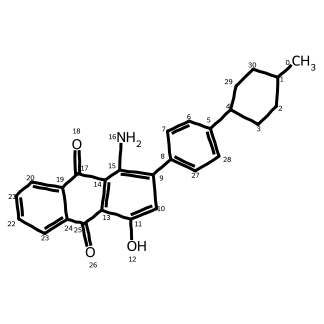 CC1CCC(c2ccc(-c3cc(O)c4c(c3N)C(=O)c3ccccc3C4=O)cc2)CC1